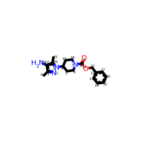 Cc1nn(C2CCN(C(=O)OCc3ccccc3)CC2)c(C)c1N